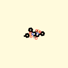 Cc1ccc(S(=O)(=O)N2C[C@H]3C(=O)CC(c4ccccc4)N(S(C)(=O)=O)[C@H]3CC2c2ccccc2)cc1